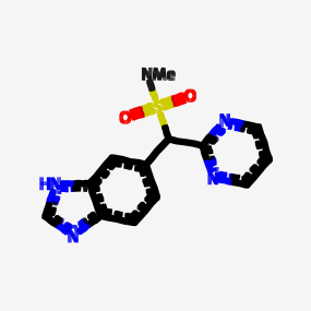 CNS(=O)(=O)C(c1ccc2nc[nH]c2c1)c1ncccn1